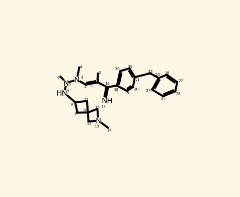 C/C(=C\N(C)N(C)NC1CC2(C1)CN(C)C2)C(=N)c1ccc(Cc2ccccc2)cc1